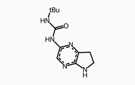 CC(C)(C)NC(=O)Nc1cnc2c(n1)CCN2